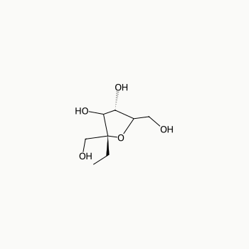 CC[C@]1(CO)OC(CO)[C@@H](O)C1O